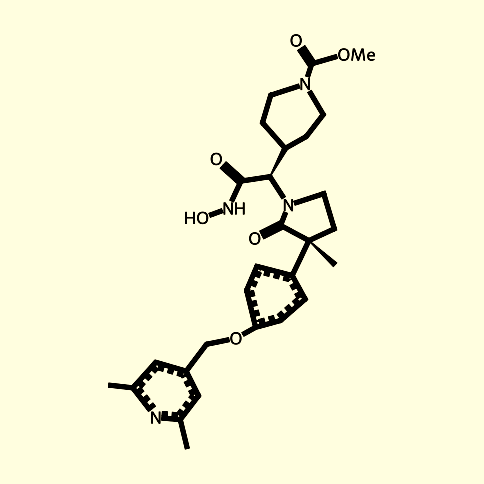 COC(=O)N1CCC([C@H](C(=O)NO)N2CC[C@](C)(c3ccc(OCc4cc(C)nc(C)c4)cc3)C2=O)CC1